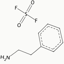 NCCc1ccccc1.O=S(=O)(F)F